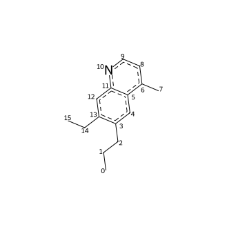 CCCc1cc2c(C)ccnc2cc1CC